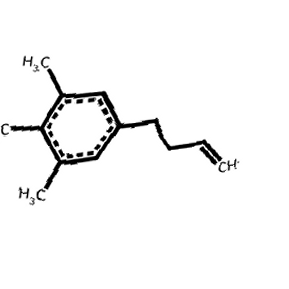 [CH]=CCCc1cc(C)c(C)c(C)c1